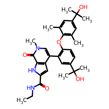 CCNC(=O)c1cc2c(-c3cc(C(C)(C)O)ccc3Oc3c(C)cc(C(C)(C)O)cc3C)cn(C)c(=O)c2[nH]1